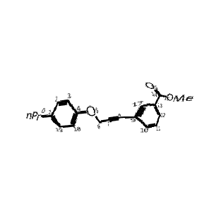 CCCc1ccc(OCC#Cc2cccc(C(=O)OC)c2)cc1